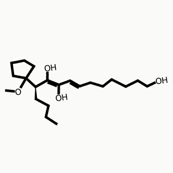 CCCC[C@H](C(O)=C(O)/C=C/CCCCCCO)C1(OC)CCCC1